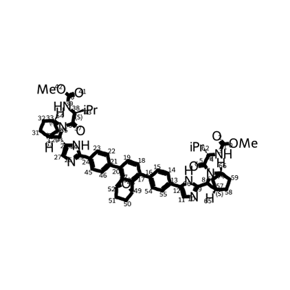 COC(=O)N[C@H](C(=O)N1C(c2ncc(-c3ccc(-c4ccc(-c5ccc(-c6ncc([C@@H]7[C@H]8CC[C@H](C8)N7C(=O)[C@@H](NC(=O)OC)C(C)C)[nH]6)cc5)c5c4C4CCC5O4)cc3)[nH]2)[C@H]2CC[C@@H]1C2)C(C)C